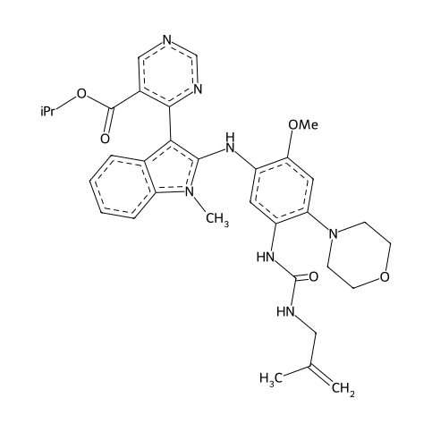 C=C(C)CNC(=O)Nc1cc(Nc2c(-c3ncncc3C(=O)OC(C)C)c3ccccc3n2C)c(OC)cc1N1CCOCC1